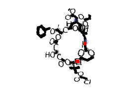 CCC(=O)O[C@H]1/C(=C/C(=O)OC)C[C@H]2C[C@H]([C@@H](C)OCc3ccccc3)OC(=O)C[C@H](O)CC(=O)O[C@H](C(C)(C)COC(=O)CCl)C[C@@H]3CCO[C@H](/C=C/C(C)(C)[C@]1(O)O2)O3